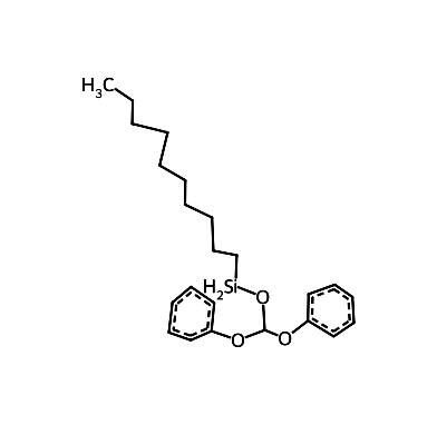 CCCCCCCCCC[SiH2]OC(Oc1ccccc1)Oc1ccccc1